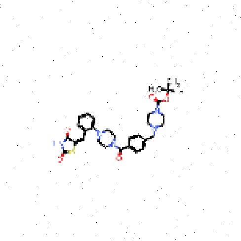 CC(C)(C)OC(=O)N1CCN(Cc2ccc(C(=O)N3CCN(c4ccccc4C=C4SC(=O)NC4=O)CC3)cc2)CC1